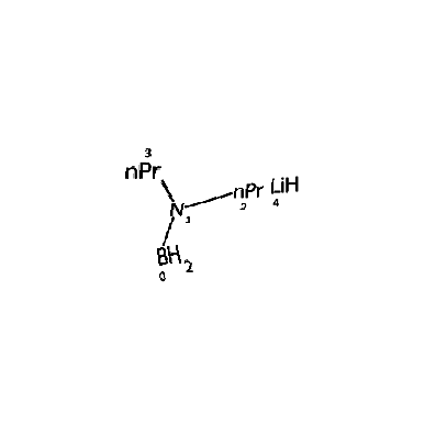 BN(CCC)CCC.[LiH]